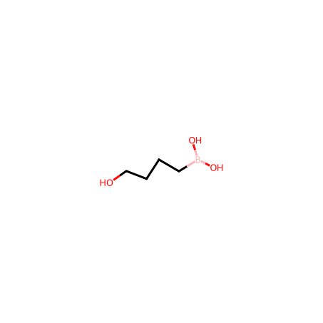 OCCCCB(O)O